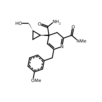 CNC(=O)C1=NC(Cc2cccc(OC)c2)=CC(C(N)=O)([C@H]2C[C@@H]2CO)C1